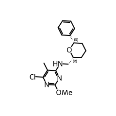 COc1nc(Cl)c(C)c(NC[C@H]2CCC[C@@H](c3ccccc3)O2)n1